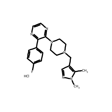 Cc1c(CN2CCN(c3nccnc3-c3ccc(F)cc3)CC2)cnn1C.Cl